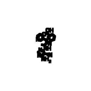 CC(Nc1ncnc(N)c1C#N)c1nc2cccc(C(=O)O)n2c1-c1cccnc1